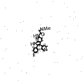 CNCC(=O)Nc1ccc2c(-c3ccncc3)c(-c3ccc(F)cc3)[nH]c2n1